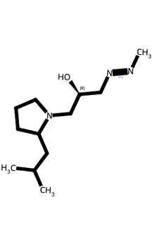 C/N=N/C[C@H](O)CN1CCCC1CC(C)C